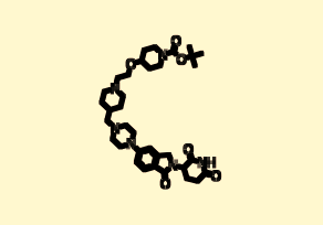 CC(C)(C)OC(=O)N1CCC(OCCN2CCC(CN3CCN(c4ccc5c(c4)CN(C4CCC(=O)NC4=O)C5=O)CC3)CC2)CC1